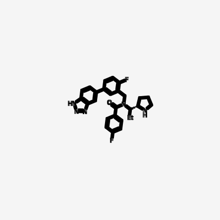 CCC([C@@H]1CCCN1)N(Cc1cc(-c2ccc3[nH]nnc3c2)ccc1F)C(=O)c1ccc(F)cc1